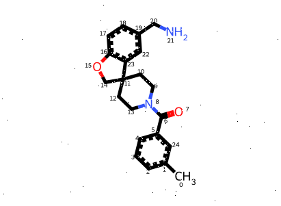 Cc1cccc(C(=O)N2CCC3(CC2)COc2ccc(CN)cc23)c1